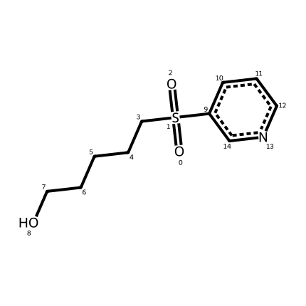 O=S(=O)(CCCCCO)c1cccnc1